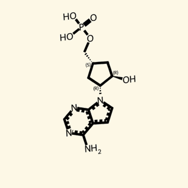 Nc1ncnc2c1ccn2[C@@H]1C[C@H](COP(=O)(O)O)C[C@H]1O